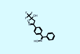 ON=C(c1ccccc1)c1ccc(C2=NOC(O)(C(F)(F)F)C2)cc1